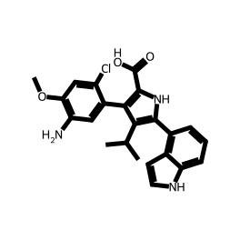 COc1cc(Cl)c(-c2c(C(=O)O)[nH]c(-c3cccc4[nH]ccc34)c2C(C)C)cc1N